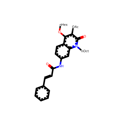 CCCCCCCCn1c(=O)c(OC(C)=O)c(OCCCCCC)c2ccc(NC(=O)/C=C/c3ccccc3)cc21